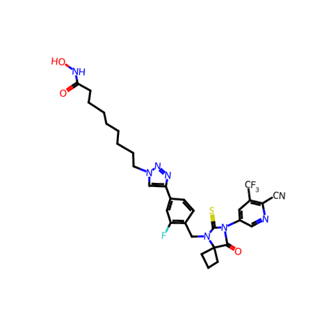 N#Cc1ncc(N2C(=O)C3(CCC3)N(Cc3ccc(-c4cn(CCCCCCCCC(=O)NO)nn4)cc3F)C2=S)cc1C(F)(F)F